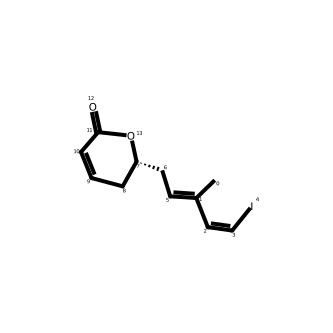 CC(/C=C\I)=C\C[C@@H]1CC=CC(=O)O1